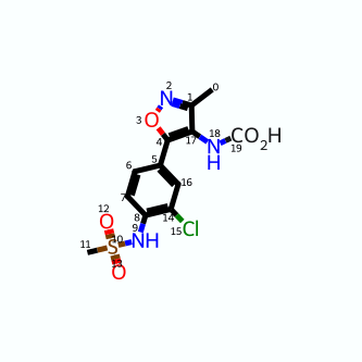 Cc1noc(-c2ccc(NS(C)(=O)=O)c(Cl)c2)c1NC(=O)O